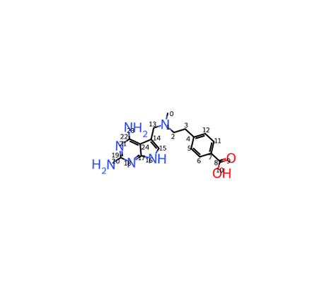 CN(CCc1ccc(C(=O)O)cc1)Cc1c[nH]c2nc(N)nc(N)c12